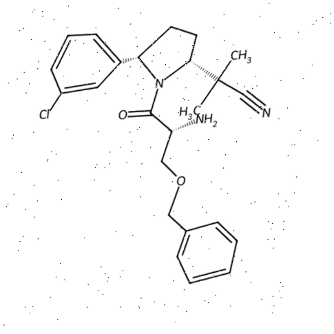 CC(C)(C#N)[C@H]1CC[C@@H](c2cccc(Cl)c2)N1C(=O)[C@H](N)COCc1ccccc1